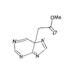 COC(=O)CC12C=NC=NC1=NC=N2